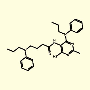 CCCN(CCCC(=O)Nc1c(S)nc(C)nc1N(CCC)c1ccccc1)c1ccccc1